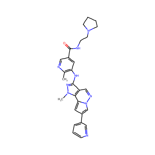 Cc1ncc(C(=O)NCCN2CCCC2)cc1Nc1nn(C)c2c1cnn1cc(-c3cccnc3)cc21